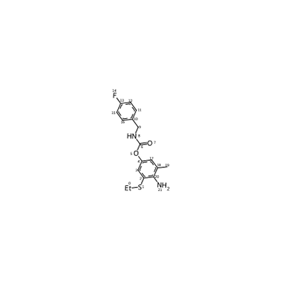 CCSc1cc(OC(=O)NCc2ccc(F)cc2)cc(C)c1N